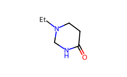 CCN1CCC(=O)NC1